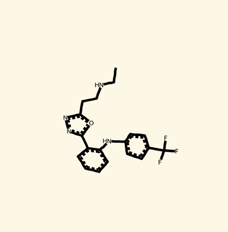 CCNCCc1nnc(-c2ccccc2Nc2ccc(C(F)(F)F)cc2)o1